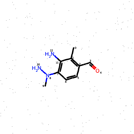 Cc1c(C=O)ccc(N(C)N)c1N